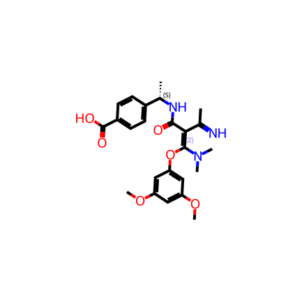 COc1cc(OC)cc(O/C(=C(/C(C)=N)C(=O)N[C@@H](C)c2ccc(C(=O)O)cc2)N(C)C)c1